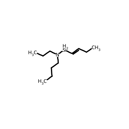 CCC=C[SiH2]N(CCC)CCCC